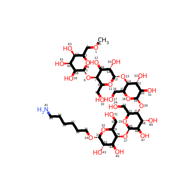 COCC1O[C@H](O[C@@H]2C(CO)O[C@@H](O[C@@H]3C(CO)O[C@H](O[C@H]4C(CO)O[C@H](O[C@@H]5C(CO)O[C@@H](OCCCCCCN)[C@@H](O)C5O)C(O)[C@H]4O)C(O)[C@H]3O)[C@@H](O)C2O)C(O)[C@@H](O)[C@H]1O